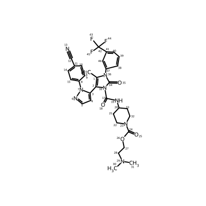 Cc1c(-c2ccnn2-c2ccc(C#N)cc2)n(C(=O)NC2CCN(C(=O)OCCN(C)C)CC2)c(=O)n1-c1cccc(C(F)(F)F)c1